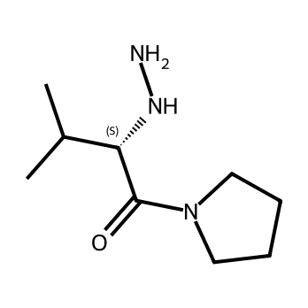 CC(C)[C@H](NN)C(=O)N1CCCC1